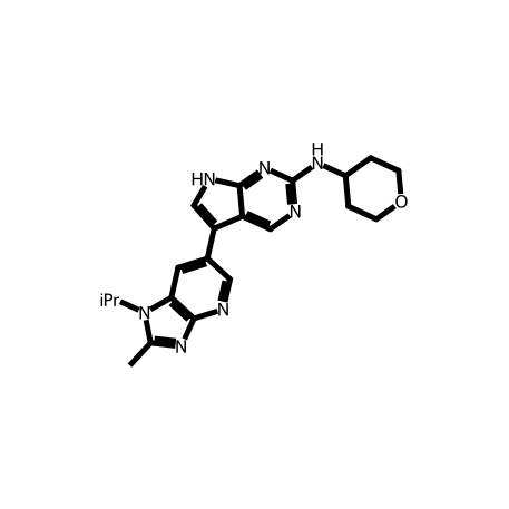 Cc1nc2ncc(-c3c[nH]c4nc(NC5CCOCC5)ncc34)cc2n1C(C)C